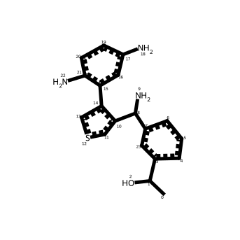 CC(O)c1cccc(C(N)c2cscc2-c2cc(N)ccc2N)c1